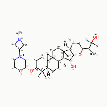 CC(=O)O[C@@H](C1C[C@@H](C)[C@H]2C(O1)[C@H](O)[C@@]1(C)C3CC[C@H]4C(C)(C)[C@@H](O[C@H]5CN(C6CN(C(C)C)C6)CCO5)CC[C@@]45CC35CC[C@]21C)C(C)(C)O